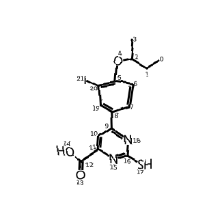 CCC(C)Oc1ccc(-c2cc(C(=O)O)nc(S)n2)cc1I